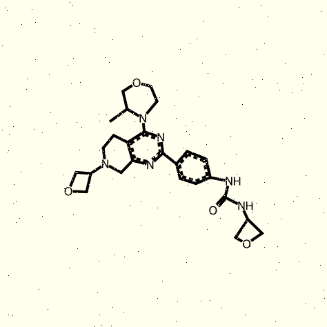 CC1COCCN1c1nc(-c2ccc(NC(=O)NC3COC3)cc2)nc2c1CCN(C1COC1)C2